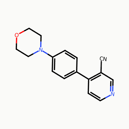 N#Cc1cnccc1-c1ccc(N2CCOCC2)cc1